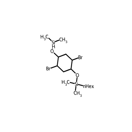 CCCCCC[Si](C)(C)OC1CC(Br)C(O[SiH](C)C)CC1Br